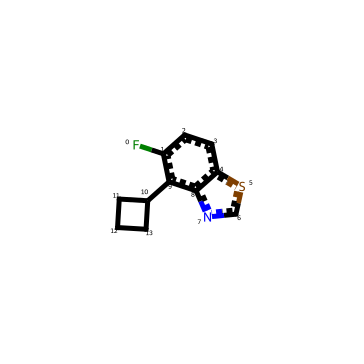 Fc1ccc2scnc2c1C1CCC1